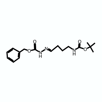 CC(C)(C)OC(=O)NCCCC=NNC(=O)OCc1ccccc1